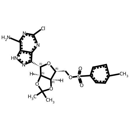 Cc1ccc(S(=O)(=O)OC[C@H]2O[C@@H](c3n[nH]c4c(N)nc(Cl)nc34)[C@@H]3OC(C)(C)O[C@@H]32)cc1